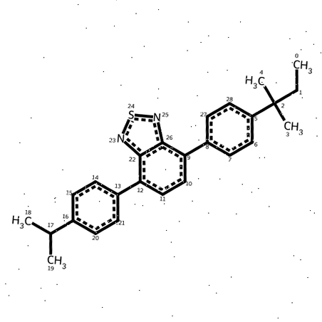 CCC(C)(C)c1ccc(-c2ccc(-c3ccc(C(C)C)cc3)c3nsnc23)cc1